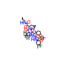 C=CCNC(=O)C(=O)C(CC1CC1)NC(=O)[C@@H]1[C@@H]2[C@H](CN1C(=O)[C@@H](NC(=O)NC1(CS(=O)(=O)C(C)(C)C)CCC(F)(F)CC1)C1(C)CCCCC1)C2(C)C